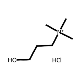 C[N+](C)(C)CCCO.Cl